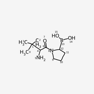 CC(C)(C)C(N)C(=O)N1CCCC1B(O)O